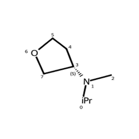 CC(C)N(C)[C@H]1CCOC1